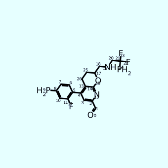 O=Cc1cc(-c2ccc(P)cc2F)c2c(n1)OC(CNCC(F)(F)P)CC2